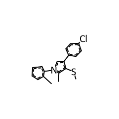 CSc1c(-c2ccc(Cl)cc2)cn(-c2ccccc2C)c1C